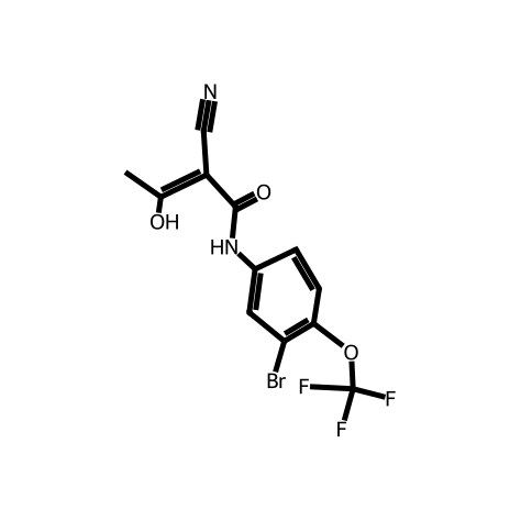 CC(O)=C(C#N)C(=O)Nc1ccc(OC(F)(F)F)c(Br)c1